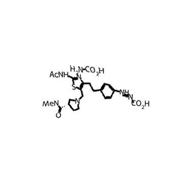 CNC(=O)[C@H]1CCN(Cc2sc(NC(C)=O)nc2CCc2ccc(NC=NC(=O)O)cc2)C1.NC(=O)O